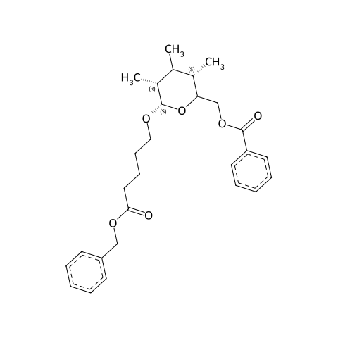 CC1[C@H](C)C(COC(=O)c2ccccc2)O[C@H](OCCCCC(=O)OCc2ccccc2)[C@@H]1C